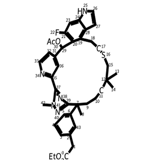 CCOC(=O)Cc1cccc(C2(C)CCCC(C)(C)CSCCc3c(c(F)cc4[nH]ccc34)C(OC(C)=O)c3ccnc(c3)-c3nc2nn3C)c1